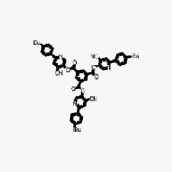 CCC(C)c1ccc(-c2cc(C#N)c(OC(=O)c3cc(C(=O)Oc4cnc(-c5ccc(C(C)CC)cc5)cc4C#N)cc(C(=O)Oc4cnc(-c5ccc(C(C)CC)cc5)cc4C#N)c3)cn2)cc1